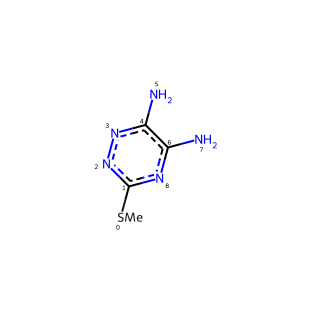 CSc1nnc(N)c(N)n1